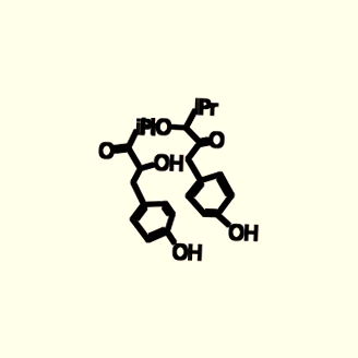 CC(C)C(=O)C(O)Cc1ccc(O)cc1.CC(C)C(O)C(=O)Cc1ccc(O)cc1